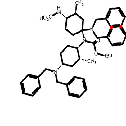 C[C@@H]1C[C@H](N(Cc2ccccc2)Cc2ccccc2)CC[C@H]1N(C(=O)OC(C)(C)C)[C@@]1(N(Cc2ccccc2)Cc2ccccc2)CC[C@H](NC(=O)O)[C@@H](C)C1